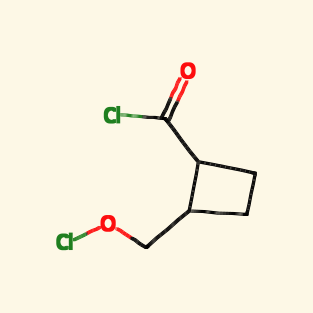 O=C(Cl)C1CCC1COCl